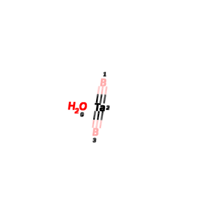 O.[B]#[Ta]#[B]